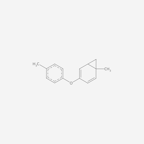 Cc1ccc(OC2=CC3CC3(C)C=C2)cc1